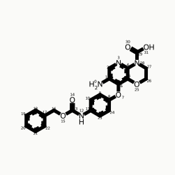 Nc1cnc2c(c1Oc1ccc(NC(=O)OCc3ccccc3)cc1)OCCN2C(=O)O